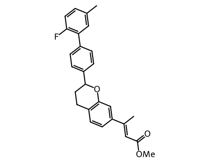 COC(=O)/C=C(\C)c1ccc2c(c1)OC(c1ccc(-c3cc(C)ccc3F)cc1)CC2